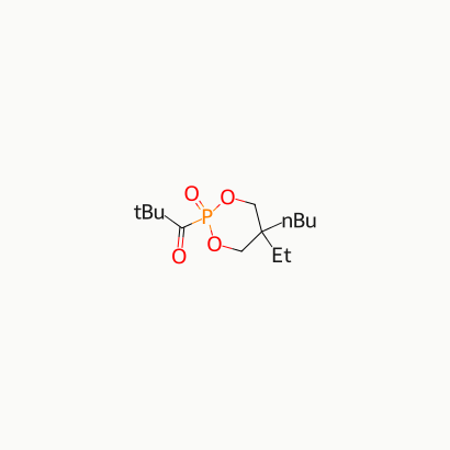 CCCCC1(CC)COP(=O)(C(=O)C(C)(C)C)OC1